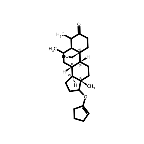 CC1C[C@@H]2[C@@H](CC[C@]3(C)C(OC4=CCCC4)CC[C@@H]23)[C@@]2(CO)CCC(=O)C(C)C12